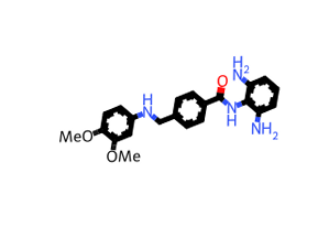 COc1ccc(NCc2ccc(C(=O)Nc3c(N)cccc3N)cc2)cc1OC